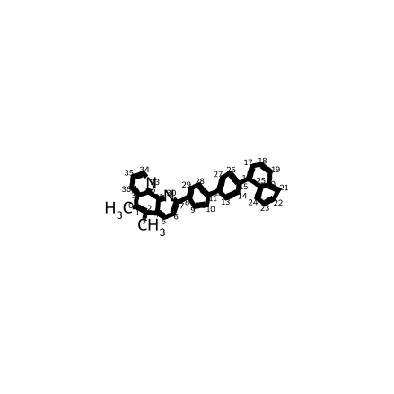 Cc1c(C)c2ccc(-c3ccc(-c4ccc(-c5cccc6ccccc56)cc4)cc3)nc2c2ncccc12